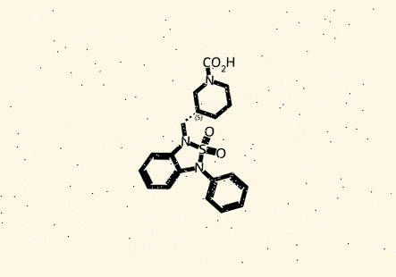 O=C(O)N1CCC[C@H](CN2c3ccccc3N(c3ccccc3)S2(=O)=O)C1